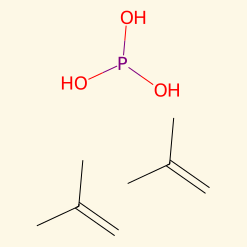 C=C(C)C.C=C(C)C.OP(O)O